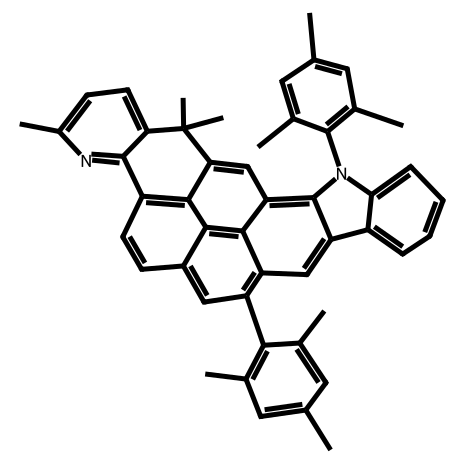 Cc1cc(C)c(-c2cc3ccc4c5c(cc6c(c2cc2c7ccccc7n(-c7c(C)cc(C)cc7C)c26)c35)C(C)(C)c2ccc(C)nc2-4)c(C)c1